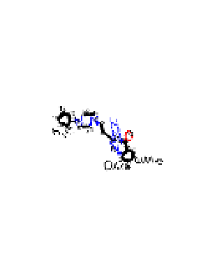 COc1cc2nc(CCN3CCN(c4ccccc4C)CC3)[nH]c(=O)c2cc1OC